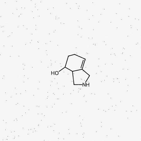 OC1CCC=C2CNCC21